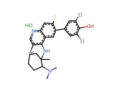 CC(=O)c1cnc2cc(F)c(-c3cc(Cl)c(O)c(Cl)c3)cc2c1NC1(C)CCCCC1N(C)C.Cl